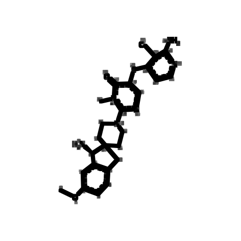 COc1ccc2c(c1)[C@@H](N)C1(CCN(c3ncc(Sc4ccnc(N)c4Cl)c(=O)n3C)CC1)C2